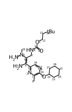 Cc1nc(/C(N)=C(\CNC(=O)OCCC(C)(C)C)N(C)N)cnc1OC1CCCCC1